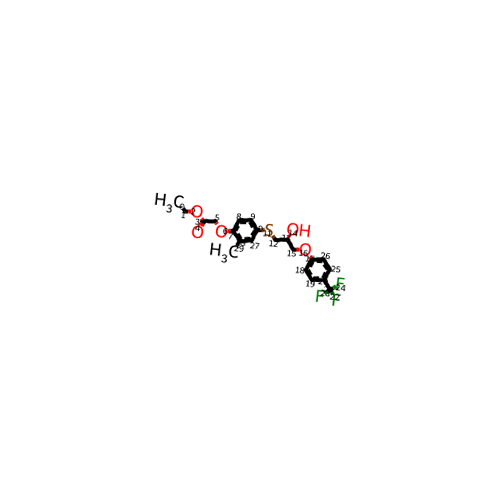 CCOC(=O)COc1ccc(SC[C@@H](O)COc2ccc(C(F)(F)F)cc2)cc1C